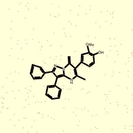 C=C1C(c2ccc(O)c(OC)c2)=C(C)Nc2c(-c3ccccc3)c(-c3ccccc3)nn21